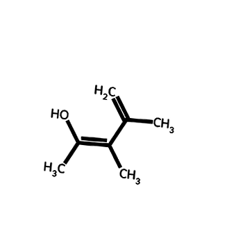 C=C(C)/C(C)=C(/C)O